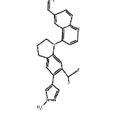 C=Cc1ccc2nccc(N3CCCc4cc(-c5cnn(C)c5)c(C(F)F)cc43)c2c1